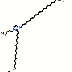 CCCCCCCCCCCCCCCCCCCN1C=CN(CCC)C1CCCCCCCCCCCCCCCC